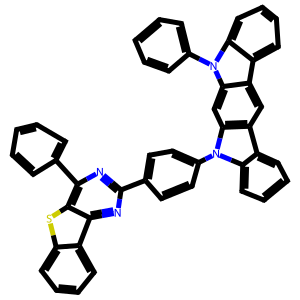 c1ccc(-c2nc(-c3ccc(-n4c5ccccc5c5cc6c7ccccc7n(-c7ccccc7)c6cc54)cc3)nc3c2sc2ccccc23)cc1